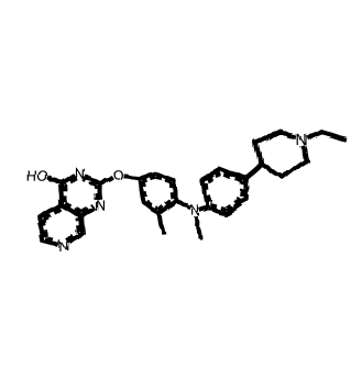 CCN1CCC(c2ccc(N(C)c3ccc(Oc4nc(O)c5ccncc5n4)cc3C)cc2)CC1